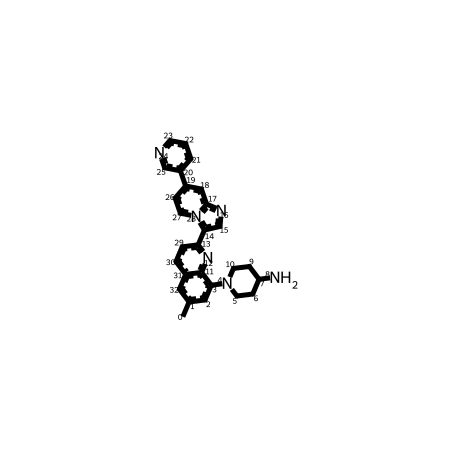 Cc1cc(N2CCC(N)CC2)c2nc(-c3cnc4cc(-c5cccnc5)ccn34)ccc2c1